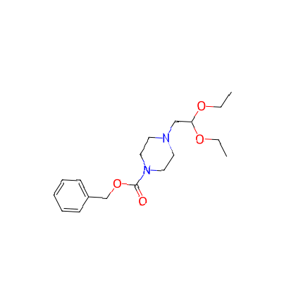 CCOC(CN1CCN(C(=O)OCc2ccccc2)CC1)OCC